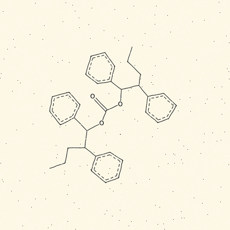 CCCC(c1ccccc1)C(OC(=O)OC(c1ccccc1)C(CCC)c1ccccc1)c1ccccc1